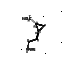 CCCCCCC[C@@H]1C[C@H]1C(=O)OCC